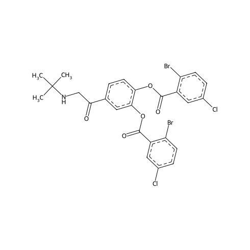 CC(C)(C)NCC(=O)c1ccc(OC(=O)c2cc(Cl)ccc2Br)c(OC(=O)c2cc(Cl)ccc2Br)c1